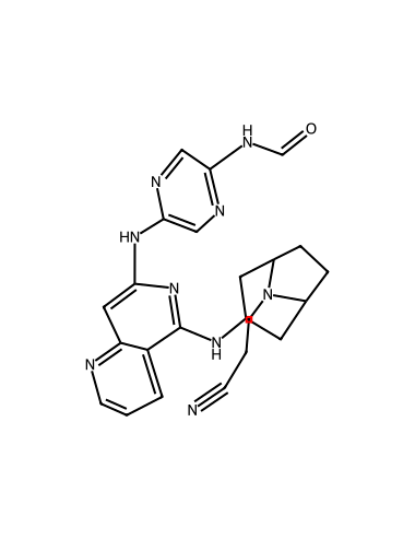 N#CCCN1C2CCC1CC(Nc1nc(Nc3cnc(NC=O)cn3)cc3ncccc13)C2